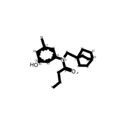 CCCC(=O)N(CC12CCC(CC1)CC2)c1cc(C)cc(O)c1